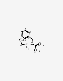 C=C(C)OCc1ccccc1.OCCO